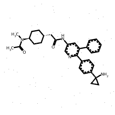 CC(=O)N(C)[C@H]1CC[C@H](CC(=O)Nc2cnc(-c3ccc(C4(N)CC4)cc3)c(-c3ccccc3)c2)CC1